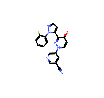 N#Cc1cncc(-n2ccc(=O)c(-c3ccnn3-c3ccccc3F)n2)c1